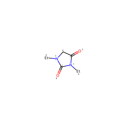 [CH2]CN1C(=O)CN(CC)C1=O